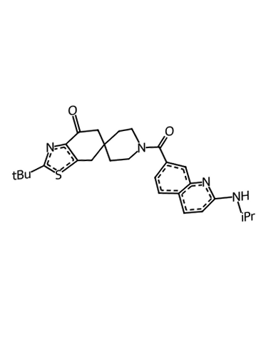 CC(C)Nc1ccc2ccc(C(=O)N3CCC4(CC3)CC(=O)c3nc(C(C)(C)C)sc3C4)cc2n1